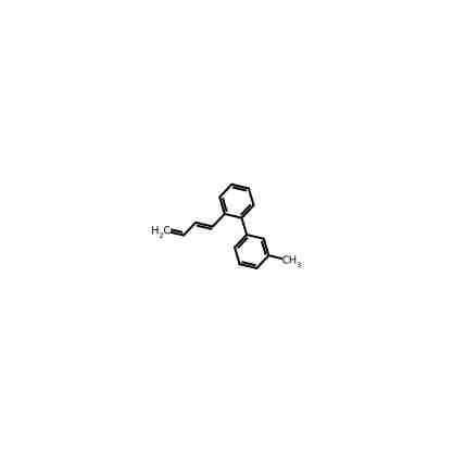 C=CC=Cc1ccccc1-c1cccc(C)c1